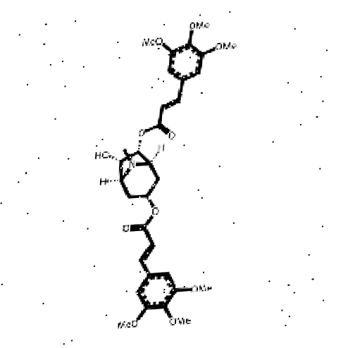 COc1cc(/C=C/C(=O)O[C@@H]2C[C@@H]3[C@@H](OC(=O)/C=C/c4cc(OC)c(OC)c(OC)c4)[C@@H](O)[C@H](C2)N3C)cc(OC)c1OC